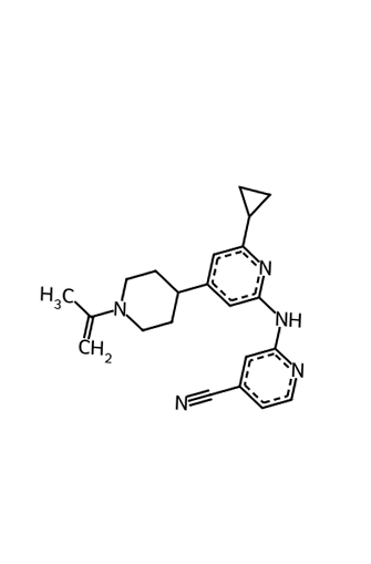 C=C(C)N1CCC(c2cc(Nc3cc(C#N)ccn3)nc(C3CC3)c2)CC1